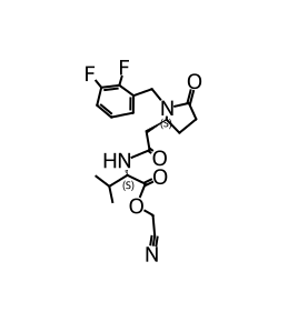 CC(C)[C@H](NC(=O)C[C@@H]1CCC(=O)N1Cc1cccc(F)c1F)C(=O)OCC#N